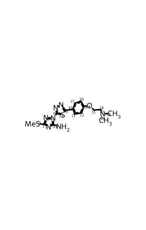 CSc1nc(N)n(-c2nnc(-c3ccc(OCCN(C)C)cc3)s2)n1